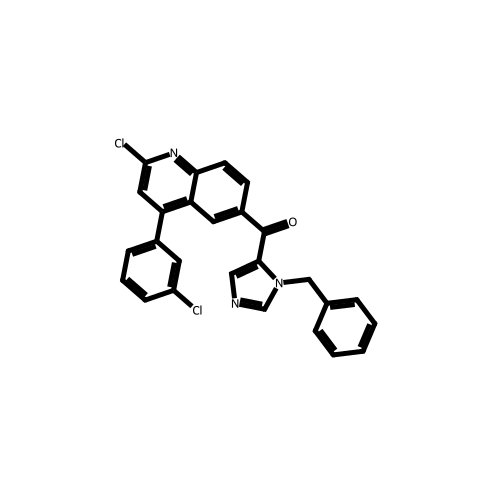 O=C(c1ccc2nc(Cl)cc(-c3cccc(Cl)c3)c2c1)c1cncn1Cc1ccccc1